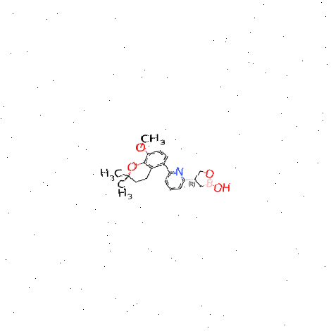 COc1ccc(-c2cccc([C@@H]3COB(O)C3)n2)c2c1OC(C)(C)CC2